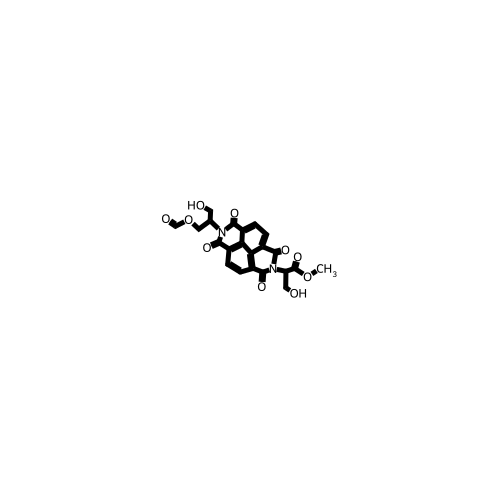 COC(=O)C(CO)N1C(=O)c2ccc3c4c(ccc(c24)C1=O)C(=O)N(C(CO)COC=O)C3=O